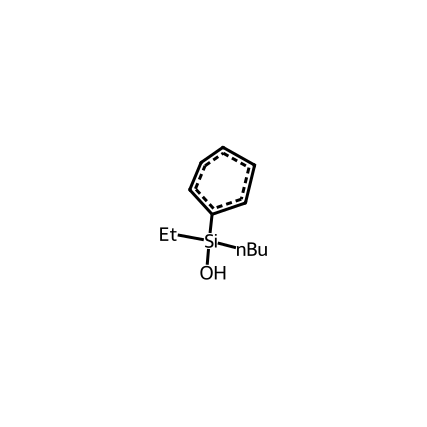 CCCC[Si](O)(CC)c1ccccc1